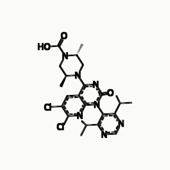 CC(C)c1ncnc(C(C)C)c1-n1c(=O)nc(N2C[C@@H](C)N(C(=O)O)C[C@@H]2C)c2cc(Cl)c(Cl)nc21